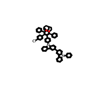 Clc1ccc(-c2c(-c3ccc(-n4c5ccccc5c5cc(-c6ccc7c(c6)c6ccccc6n7-c6ccccc6)ccc54)cc3)c(-c3ccccc3)c3c(c2-c2ccccc2)C2CC4CC(C2)CC3C4)cc1